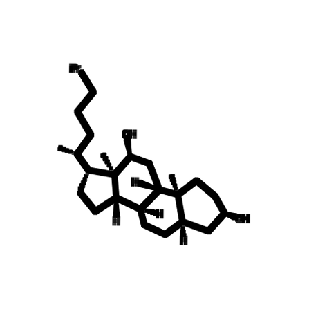 CC(C)CCC[C@@H](C)[C@H]1CC[C@H]2[C@@H]3CC[C@@H]4C[C@H](O)CC[C@]4(C)[C@H]3C[C@H](O)[C@]12C